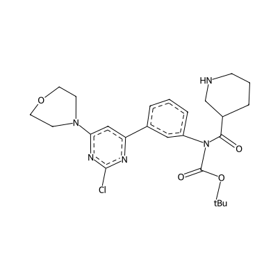 CC(C)(C)OC(=O)N(C(=O)C1CCCNC1)c1cccc(-c2cc(N3CCOCC3)nc(Cl)n2)c1